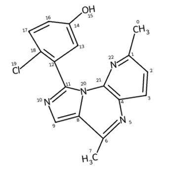 Cc1ccc2nc(C)c3cnc(-c4cc(O)ccc4Cl)n3c2n1